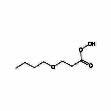 CCCCOCCC(=O)OO